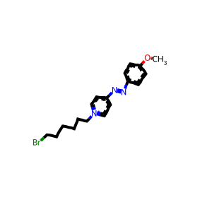 COc1ccc(/N=N/c2cc[n+](CCCCCCBr)cc2)cc1